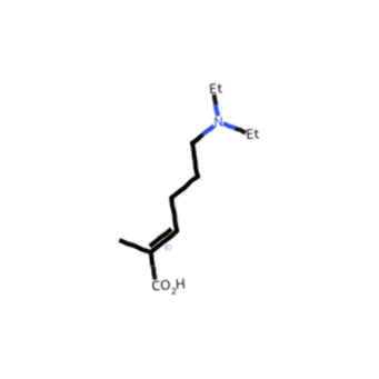 CCN(CC)CCC/C=C(\C)C(=O)O